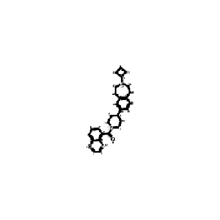 O=C(c1cccc2nccnc12)N1CCC(c2ccc3c(c2)CCN(C2CCC2)CC3)CC1